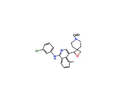 Cc1cccc2c(Nc3cccc(Cl)c3)ncc(C3OCC34CCN(C=O)CC4)c12